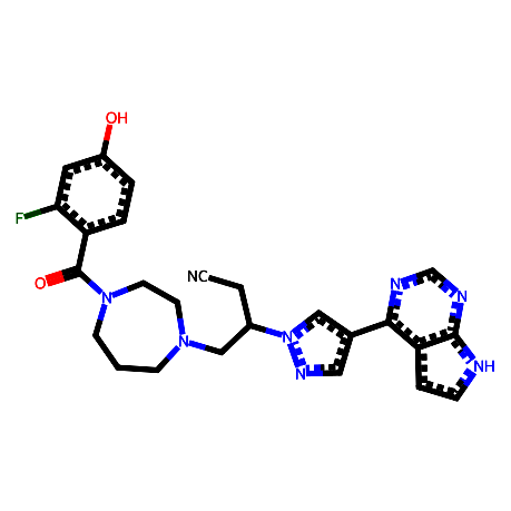 N#CCC(CN1CCCN(C(=O)c2ccc(O)cc2F)CC1)n1cc(-c2ncnc3[nH]ccc23)cn1